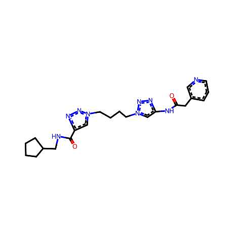 O=C(Cc1cccnc1)Nc1cn(CCCCn2cc(C(=O)NCC3CCCC3)nn2)nn1